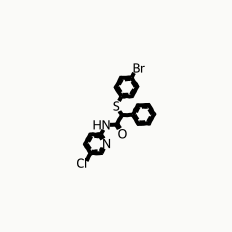 O=C(Nc1ccc(Cl)cn1)C(Sc1ccc(Br)cc1)c1ccccc1